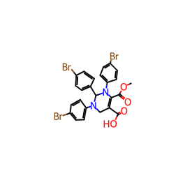 COC(=O)C1=C(C(=O)O)CN(c2ccc(Br)cc2)C(c2ccc(Br)cc2)N1c1ccc(Br)cc1